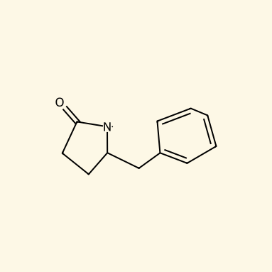 O=C1CCC(Cc2ccccc2)[N]1